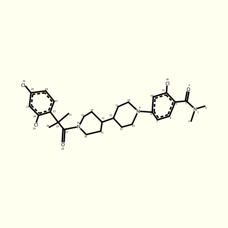 CN(C)C(=O)c1ccc(N2CCC(C3CCN(C(=O)C(C)(C)c4ccc(Cl)cc4Cl)CC3)CC2)cc1Cl